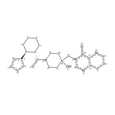 O=C([C@H]1CCCC[C@@H]1c1ccoc1)N1CCC(O)(Cn2cnc3cccnc3c2=O)CC1